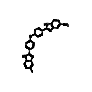 Cc1ccc2[nH]c(-c3ccc(Oc4ccc(-c5nc6cc(N)ccc6[nH]5)cc4)cc3)nc2c1